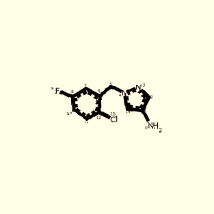 Nc1cnn(Cc2cc(F)ccc2Cl)c1